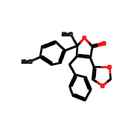 COc1ccc(C2(OC)OC(=O)C(C3=COCO3)=C2Cc2ccccc2)cc1